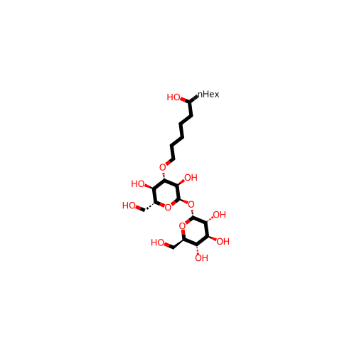 CCCCCCC(O)CCCCCO[C@@H]1[C@@H](O)[C@@H](O[C@H]2O[C@H](CO)[C@@H](O)[C@H](O)[C@H]2O)O[C@H](CO)[C@H]1O